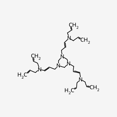 C=CCN(C=CCN1CN(CC=CN(CC=C)CC=C)CN(CC=CN(CC=C)CC=C)C1)CC=C